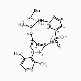 Cc1cccc(C)c1-c1cc2nc(n1)NS(=O)(=O)c1cccc(c1)N[C@@H](CC(C)(C)C)[C@H](C)O2